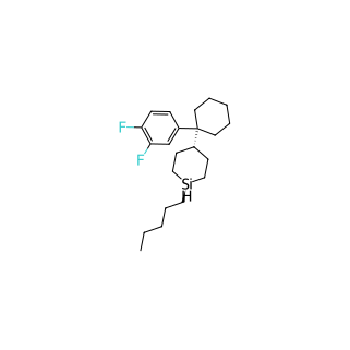 CCCCC[Si@H]1CC[C@H](C2(c3ccc(F)c(F)c3)CCCCC2)CC1